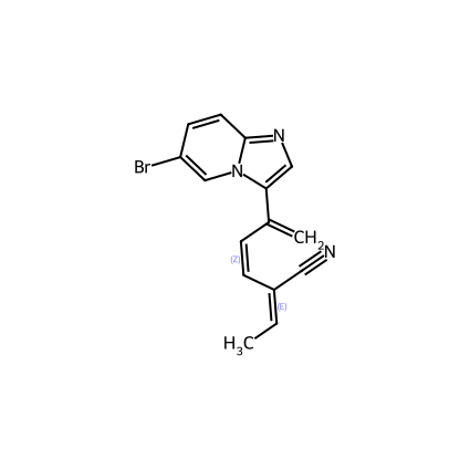 C=C(/C=C\C(C#N)=C/C)c1cnc2ccc(Br)cn12